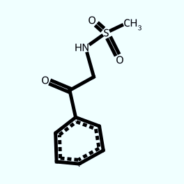 CS(=O)(=O)NCC(=O)c1cc[c]cc1